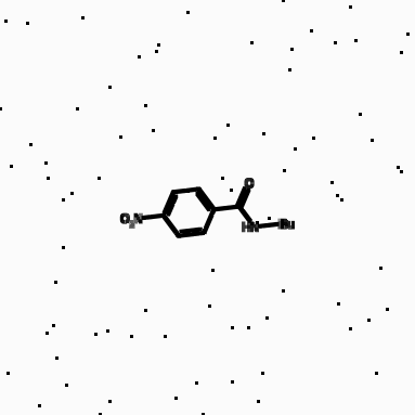 [CH2]CC(C)NC(=O)c1ccc([N+](=O)[O-])cc1